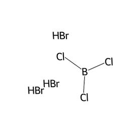 Br.Br.Br.ClB(Cl)Cl